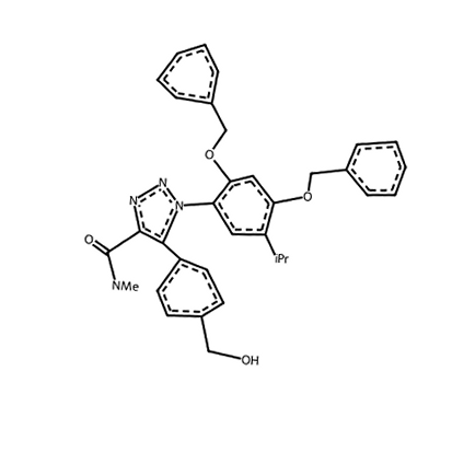 CNC(=O)c1nnn(-c2cc(C(C)C)c(OCc3ccccc3)cc2OCc2ccccc2)c1-c1ccc(CO)cc1